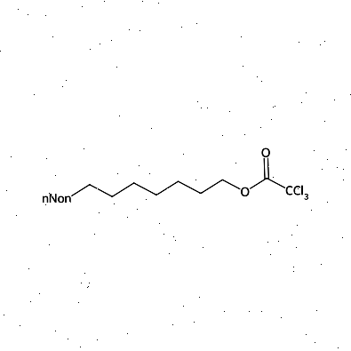 CCCCCCCCCCCCCCCCOC(=O)C(Cl)(Cl)Cl